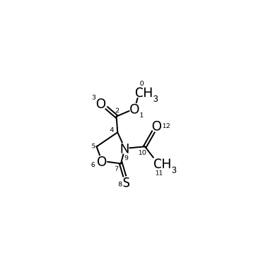 COC(=O)C1COC(=S)N1C(C)=O